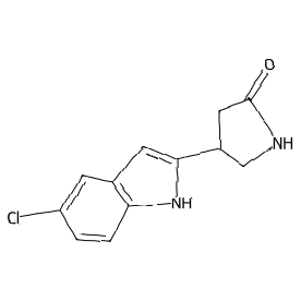 O=C1CC(c2cc3cc(Cl)ccc3[nH]2)CN1